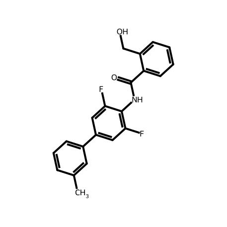 Cc1cccc(-c2cc(F)c(NC(=O)c3ccccc3CO)c(F)c2)c1